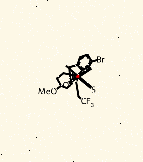 COC1CCC2(CC1)Cc1ccc(Br)cc1C21NC(=S)N(CC(F)(F)F)C1=O